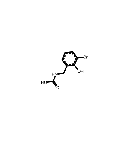 O=C(O)NCc1cccc(Br)c1O